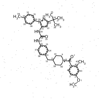 COc1ccc(C(=O)N2CCC(Cc3ccc(NC(=O)Nc4cc(C(C)(C)C)nn4-c4ccc(C)cc4)cc3)CC2)c(C)c1